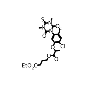 CCOC(=O)CCCOC(=O)C(C)Oc1cc(-n2c(=O)n(C)c(=S)n(C)c2=O)c(F)cc1Cl